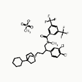 CN(CC(CC[N+]12CCC(C3CCCCC3)(CC1)C2)c1ccc(Cl)c(Cl)c1)C(=O)c1cc(C(F)(F)F)cc(C(F)(F)F)c1.CS(=O)(=O)[O-]